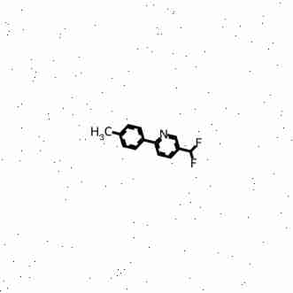 Cc1ccc(-c2ccc(C(F)F)cn2)cc1